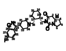 O=C1C[C@H]2CCCN2C(=O)N1C[C@H]1CCCC[C@H]1CN1CCC(c2noc3cc(F)ccc23)CC1